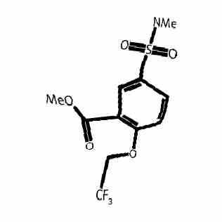 CNS(=O)(=O)c1ccc(OCC(F)(F)F)c(C(=O)OC)c1